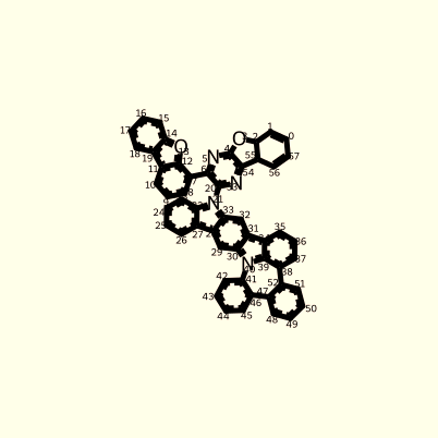 C1=CC2Oc3nc(-c4cccc5c4oc4ccccc45)c(-n4c5ccccc5c5cc6c(cc54)c4cccc5c4n6-c4ccccc4-c4ccccc4-5)nc3C2C=C1